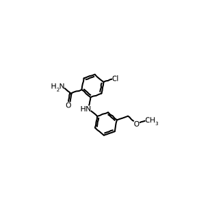 COCc1cccc(Nc2cc(Cl)ccc2C(N)=O)c1